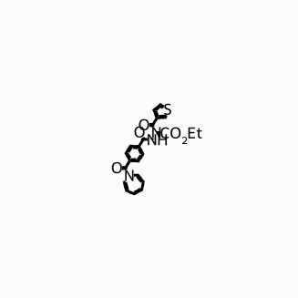 CCOC(=O)N(NC(=O)c1ccc(C(=O)N2C=CC=CC=C2)cc1)C(=O)c1ccsc1